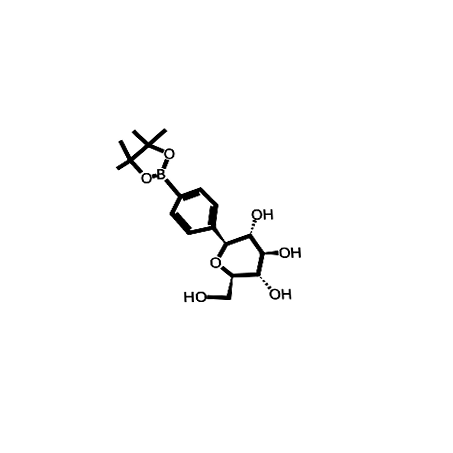 CC1(C)OB(c2ccc([C@@H]3O[C@H](CO)[C@@H](O)[C@H](O)[C@H]3O)cc2)OC1(C)C